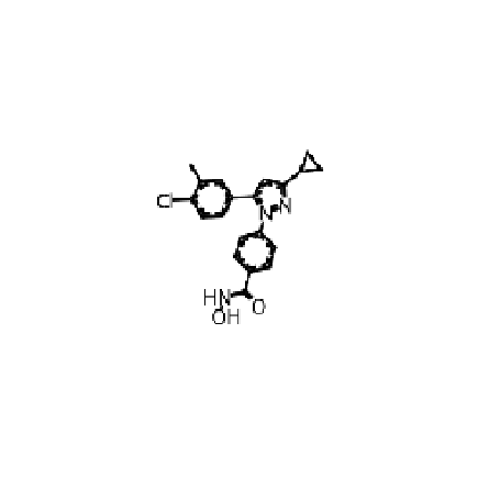 Cc1cc(-c2cc(C3CC3)nn2-c2ccc(C(=O)NO)cc2)ccc1Cl